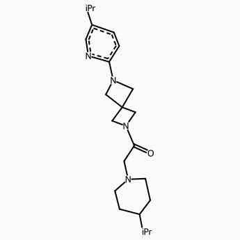 CC(C)c1ccc(N2CC3(CN(C(=O)CN4CCC(C(C)C)CC4)C3)C2)nc1